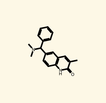 Cc1cc2cc(C(c3ccccc3)N(C)C)ccc2[nH]c1=O